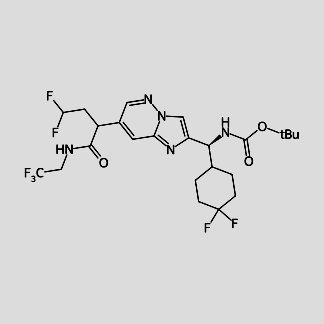 CC(C)(C)OC(=O)N[C@H](c1cn2ncc(C(CC(F)F)C(=O)NCC(F)(F)F)cc2n1)C1CCC(F)(F)CC1